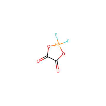 O=C1O[PH](F)(F)OC1=O